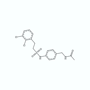 CC(=O)NCc1ccc(NS(=O)(=O)CCc2cccc(Cl)c2Cl)cc1